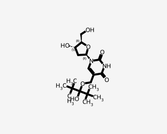 CC(C)(C)C(O)(OCc1cn([C@H]2C[C@H](O)[C@@H](CO)O2)c(=O)[nH]c1=O)C(C)(C)C